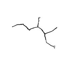 CCCC(F)C(C)CF